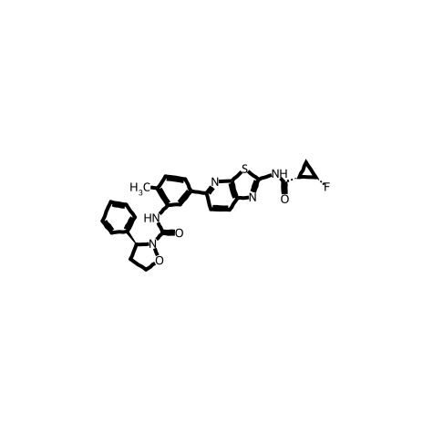 Cc1ccc(-c2ccc3nc(NC(=O)[C@@H]4C[C@@H]4F)sc3n2)cc1NC(=O)N1OCC[C@H]1c1ccccc1